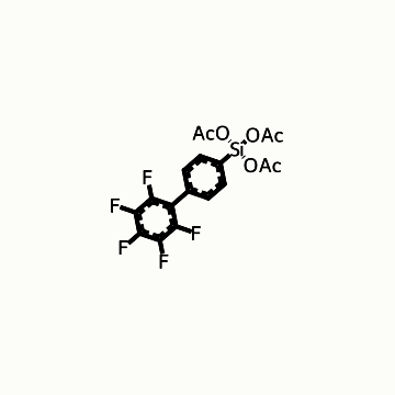 CC(=O)O[Si](OC(C)=O)(OC(C)=O)c1ccc(-c2c(F)c(F)c(F)c(F)c2F)cc1